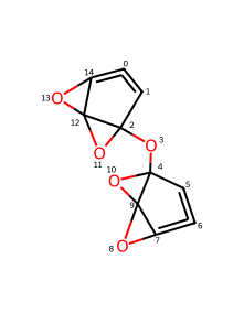 C1=CC2(OC34C=C=C5OC53O4)OC23OC=13